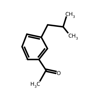 CC(=O)c1[c]ccc(CC(C)C)c1